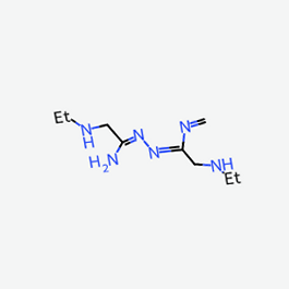 C=N/C(CNCC)=N\N=C(/N)CNCC